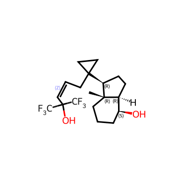 C[C@]12CCC[C@H](O)[C@@H]1CC[C@@H]2C1(C/C=C\C(O)(C(F)(F)F)C(F)(F)F)CC1